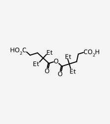 CCC(CC)(CCC(=O)O)C(=O)OC(=O)C(CC)(CC)CCC(=O)O